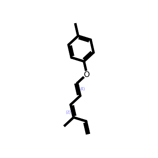 C=C/C(C)=C\C=C\Oc1ccc(C)cc1